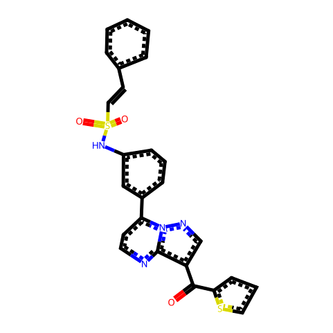 O=C(c1cccs1)c1cnn2c(-c3cccc(NS(=O)(=O)C=Cc4ccccc4)c3)ccnc12